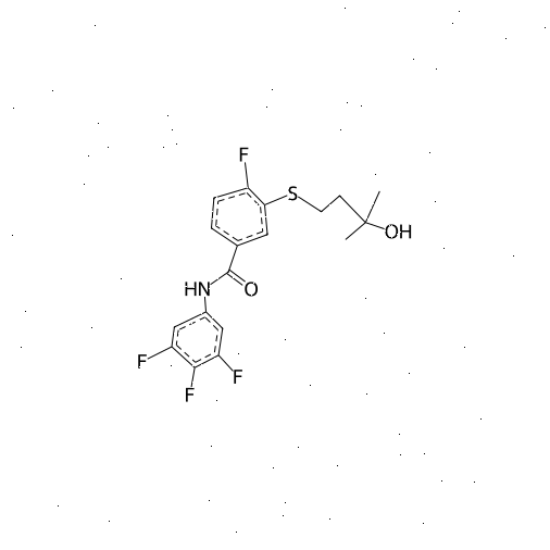 CC(C)(O)CCSc1cc(C(=O)Nc2cc(F)c(F)c(F)c2)ccc1F